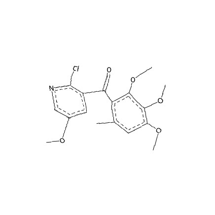 COc1cnc(Cl)c(C(=O)c2c(C)cc(OC)c(OC)c2OC)c1